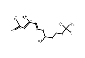 CCC(C)(C)CCCC(C)CC=CC(C)=CC(=O)Cl